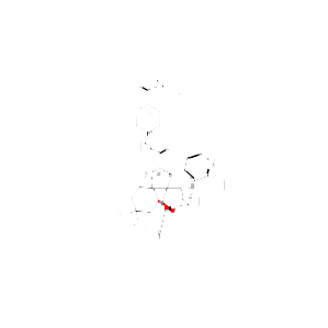 CC1(C)CCC2(CC1)N[C@@H](C(=O)N[C@@H]1CC[C@@H](C(N)=O)OC1)[C@H](c1ccnc(Cl)c1F)C21C(=O)Nc2cc(Cl)ncc21